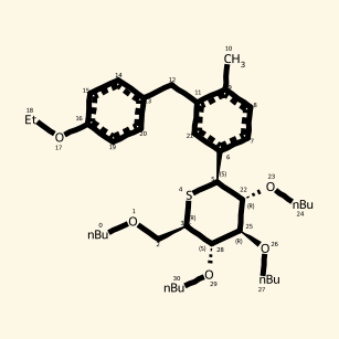 CCCCOC[C@H]1S[C@@H](c2ccc(C)c(Cc3ccc(OCC)cc3)c2)[C@H](OCCCC)[C@@H](OCCCC)[C@@H]1OCCCC